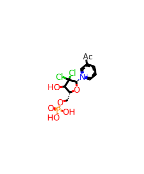 CC(=O)c1ccc[n+]([C@@H]2O[C@H](COP(=O)(O)O)C(O)C2(Cl)Cl)c1